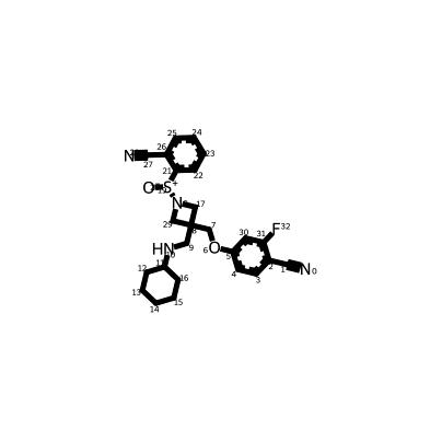 N#Cc1ccc(OCC2(CNC3CCCCC3)CN([S+]([O-])c3ccccc3C#N)C2)cc1F